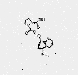 CC(C)(C)C(=O)N1CCC[C@@H]1C(=O)OCOc1ccc([N+](=O)[O-])c2cccnc12